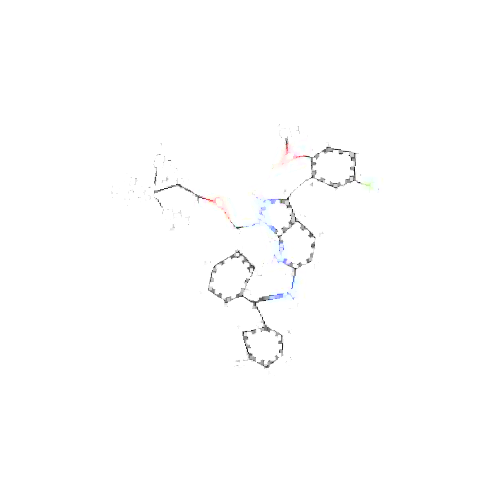 COc1ccc(F)cc1-c1nn(COCC[Si](C)(C)C)c2nc(N=C(c3ccccc3)c3ccccc3)ccc12